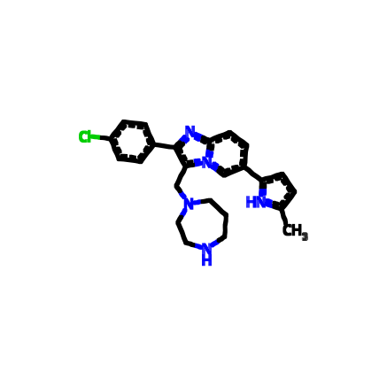 Cc1ccc(-c2ccc3nc(-c4ccc(Cl)cc4)c(CN4CCCNCC4)n3c2)[nH]1